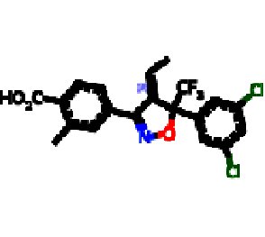 C/C=C1/C(c2ccc(C(=O)O)c(C)c2)=NOC1(c1cc(Cl)cc(Cl)c1)C(F)(F)F